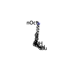 CCCCCCCC/C=C\CCCCCCCCOCCOCCOP(=O)(O)OCCNC(C)(C)C